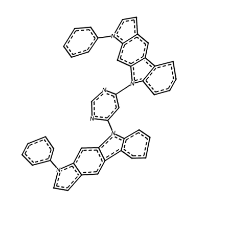 c1ccc(-n2ccc3cc4c5ccccc5n(-c5cc(-n6c7ccccc7c7cc8ccn(-c9ccccc9)c8cc76)ncn5)c4cc32)cc1